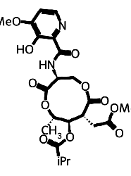 COC(=O)C[C@H]1C(=O)OC[C@H](NC(=O)c2nccc(OC)c2O)C(=O)O[C@@H](C)[C@@H]1OC(=O)C(C)C